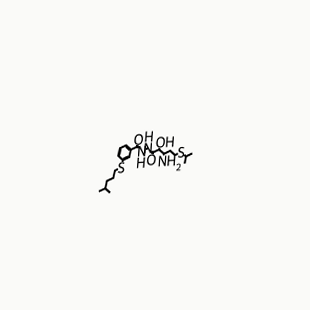 CC(C)CCCSc1cccc(C(=O)NNC(=O)C(O)[C@H](N)CCSC(C)C)c1